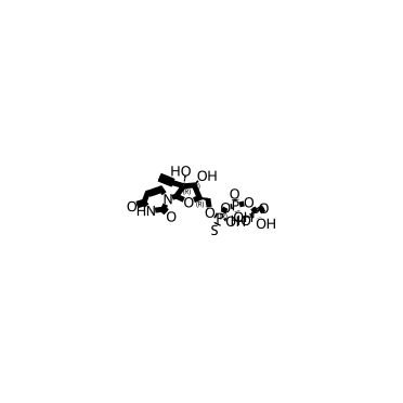 C#C[C@]1(O)C(n2ccc(=O)[nH]c2=O)O[C@H](CO[P@@](O)(=S)OP(=O)(O)OP(=O)(O)O)[C@H]1O